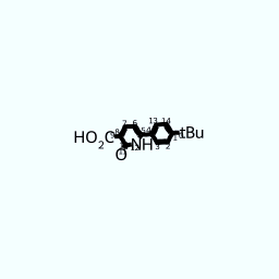 CC(C)(C)c1ccc(-c2ccc(C(=O)O)c(=O)[nH]2)cc1